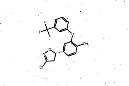 Cc1ccc([C@@H]2CC(Cl)=NO2)cc1Oc1cccc(C(F)(F)F)c1